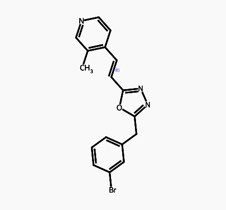 Cc1cnccc1/C=C/c1nnc(Cc2cccc(Br)c2)o1